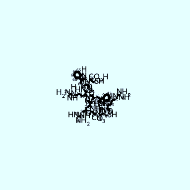 C[C@@H](NC(=O)[C@H](CS)NC(=O)[C@@H](N)CCCNC(=N)N)C(=O)N[C@@H](CCCNC(=N)N)C(=O)N[C@H](Cc1c[nH]c2ccccc12)C(=O)N[C@@H](CCCNC(=N)N)C(=O)N[C@H](Cc1c[nH]c2ccccc12)C(=O)N[C@@H](CS)C(=O)O